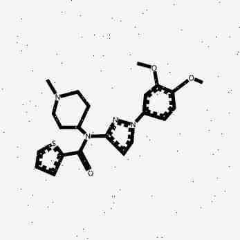 COc1ccc(-n2ccc(N(C(=O)c3cccs3)C3CCN(C)CC3)n2)cc1OC